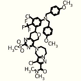 COc1ccc(CN(Cc2ccc(OC)cc2)c2cc(Cl)c(C(F)(F)F)c(C3Cc4nc(S(C)(=O)=O)nc(N5CCCn6nc(C(=O)N(C)C)c(Cl)c6C5)c4CO3)c2)cc1